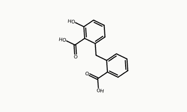 O=C(O)c1ccccc1Cc1cccc(O)c1C(=O)O